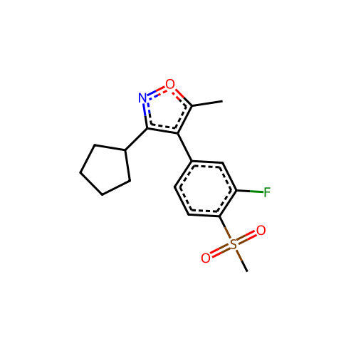 Cc1onc(C2CCCC2)c1-c1ccc(S(C)(=O)=O)c(F)c1